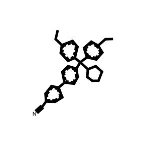 CCc1ccc(C(c2ccc(CC)cc2)(c2ccc(-c3ccc(C#N)cc3)cc2)C2CCCCC2)cc1